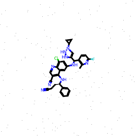 Cc1nc(F)ccc1C(Nc1cc(Cl)c2ncc(C#N)c(N[C@H](CCC#N)c3ccccc3)c2c1)C1=CN(C2CC2)NN1